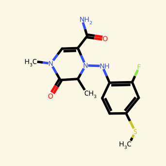 CSc1ccc(NN2C(C(N)=O)=CN(C)C(=O)C2C)c(F)c1